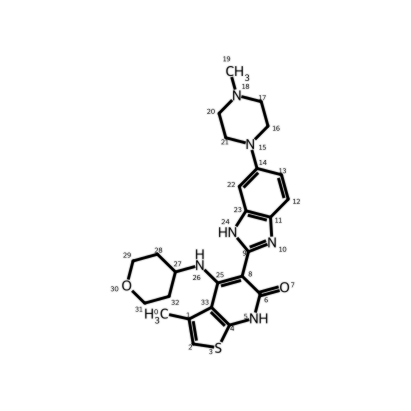 Cc1csc2[nH]c(=O)c(-c3nc4ccc(N5CCN(C)CC5)cc4[nH]3)c(NC3CCOCC3)c12